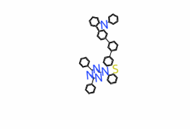 c1ccc(-c2nc(-c3ccccc3)nc(N3c4ccccc4Sc4cc(-c5cccc(-c6ccc7c8ccccc8n(-c8ccccc8)c7c6)c5)ccc43)n2)cc1